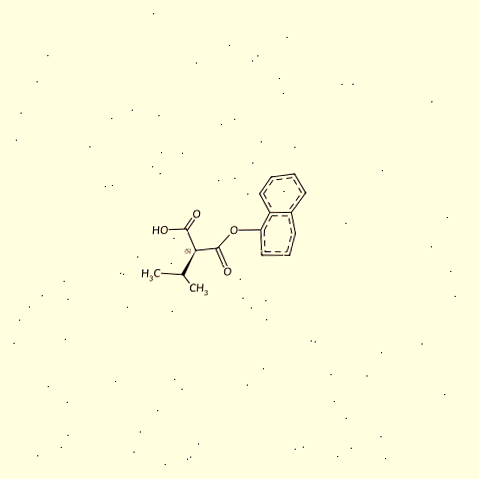 CC(C)[C@@H](C(=O)O)C(=O)Oc1cccc2ccccc12